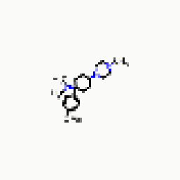 COc1ccc(C2(N(C)C)CCC(N3CCN(C)CC3)CC2)cc1